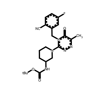 Cc1nnc(N2CCCC(NC(=O)OC(C)(C)C)C2)n(Cc2cc(F)ccc2C#N)c1=O